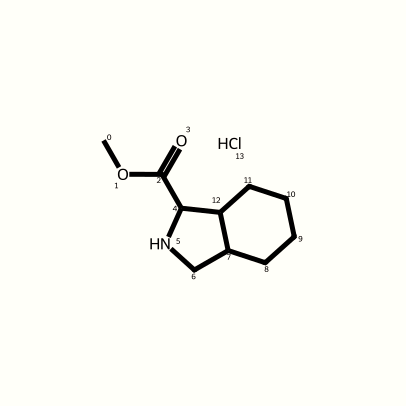 COC(=O)C1NCC2CCCCC21.Cl